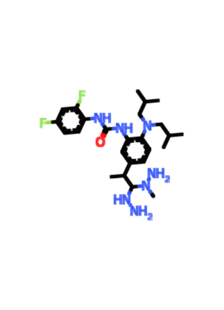 CC(C)CN(CC(C)C)c1ccc(C(C)C(NN)N(C)N)cc1NC(=O)Nc1ccc(F)cc1F